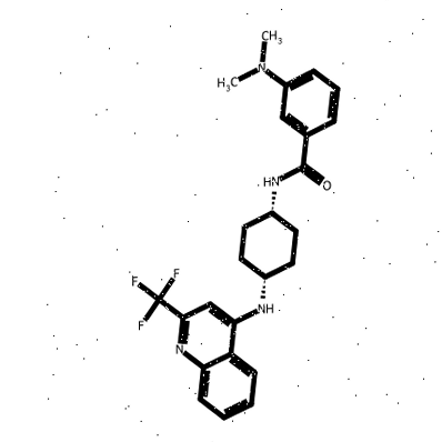 CN(C)c1cccc(C(=O)N[C@H]2CC[C@@H](Nc3cc(C(F)(F)F)nc4ccccc34)CC2)c1